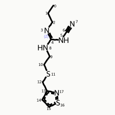 CCC/N=C(\NC#N)NCCSCc1ccsn1